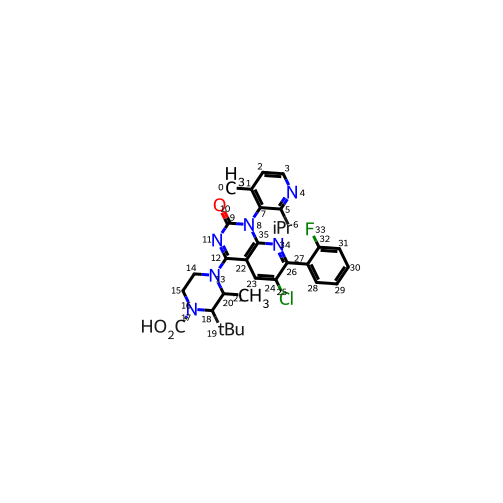 Cc1ccnc(C(C)C)c1-n1c(=O)nc(N2CCN(C(=O)O)C(C(C)(C)C)C2C)c2cc(Cl)c(-c3ccccc3F)nc21